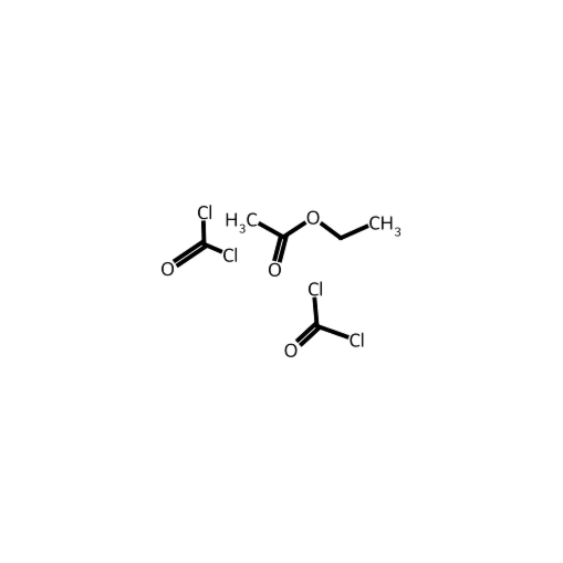 CCOC(C)=O.O=C(Cl)Cl.O=C(Cl)Cl